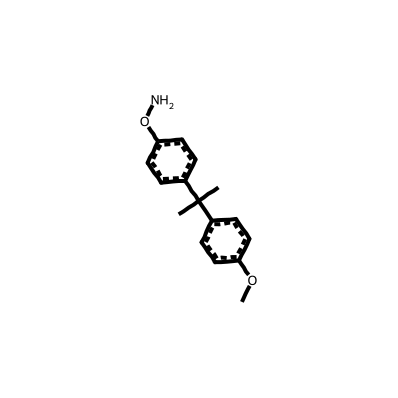 COc1ccc(C(C)(C)c2ccc(ON)cc2)cc1